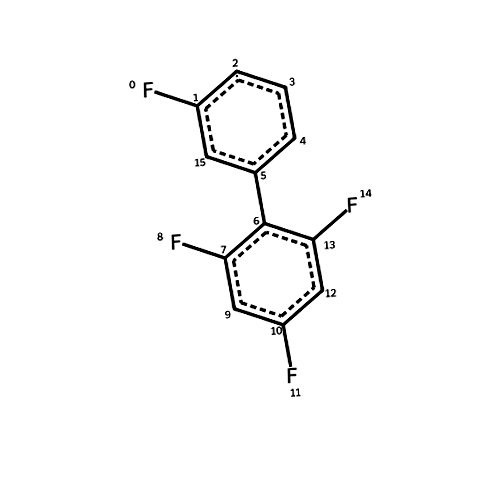 Fc1[c]ccc(-c2c(F)cc(F)cc2F)c1